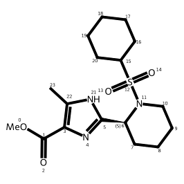 COC(=O)c1nc([C@@H]2CCCCN2S(=O)(=O)C2CCCCC2)[nH]c1C